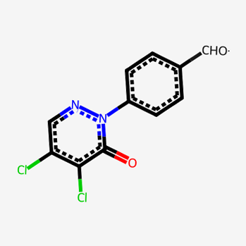 O=[C]c1ccc(-n2ncc(Cl)c(Cl)c2=O)cc1